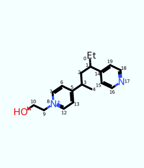 CCC(CC(C)c1cc[n+](CCO)cc1)c1ccncc1